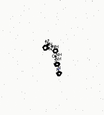 CN(C)c1nc(N[C@H]2CC[C@@H](NC(=O)NSc3ccc(/N=N/c4ccccc4)cc3)CC2)nc2c1CCCC2